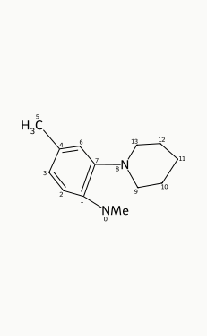 CNc1ccc(C)cc1N1CCCCC1